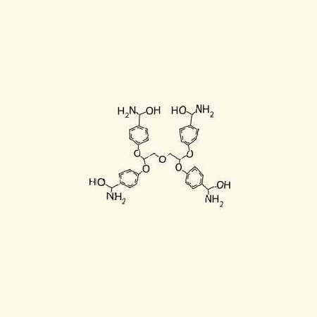 NC(O)c1ccc(OC(COCC(Oc2ccc(C(N)O)cc2)Oc2ccc(C(N)O)cc2)Oc2ccc(C(N)O)cc2)cc1